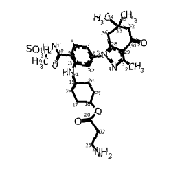 CS(=O)(=O)O.Cc1nn(-c2ccc(C(N)=O)c(NC3CCC(OC(=O)CCN)CC3)c2)c2c1C(=O)CC(C)(C)C2